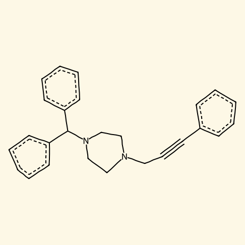 C(#Cc1ccccc1)CN1CCN(C(c2ccccc2)c2ccccc2)CC1